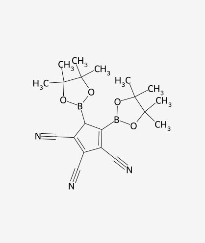 CC1(C)OB(C2=C(C#N)C(C#N)=C(C#N)C2B2OC(C)(C)C(C)(C)O2)OC1(C)C